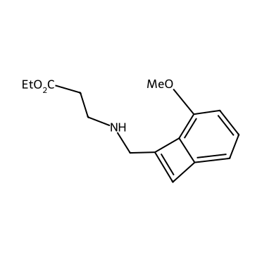 CCOC(=O)CCNCC1=Cc2cccc(OC)c21